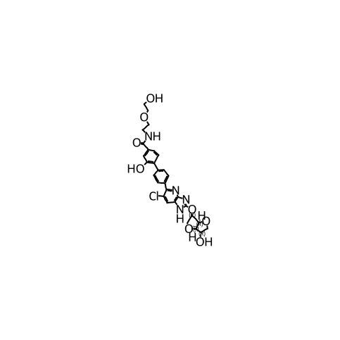 O=C(NCCOCCO)c1ccc(-c2ccc(-c3nc4nc(O[C@@H]5CO[C@H]6[C@@H]5OC[C@H]6O)[nH]c4cc3Cl)cc2)c(O)c1